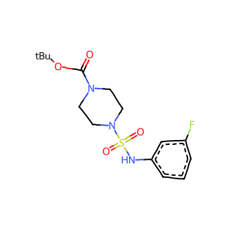 CC(C)(C)OC(=O)N1CCN(S(=O)(=O)Nc2cccc(F)c2)CC1